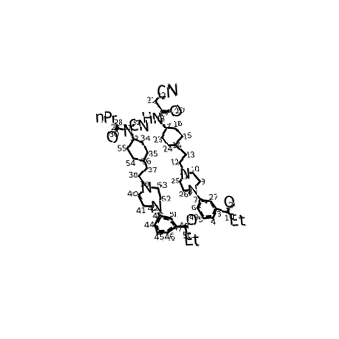 CCC(=O)c1cccc(N2CCN(CCC3CCC(NC(=O)CC#N)CC3)CC2)c1.CCCC(=O)N(C#N)C1CCC(CCN2CCN(c3cccc(C(=O)CC)c3)CC2)CC1